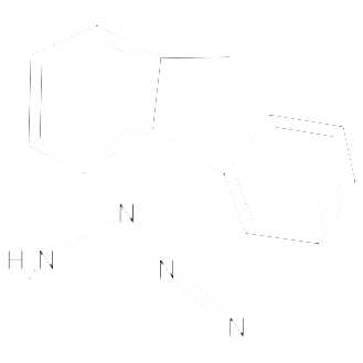 [N-]=[N+]=NN.c1ccc2c(c1)Cc1ccccc1-2